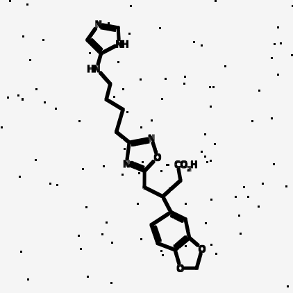 O=C(O)CC(Cc1nc(CCCCNc2cnc[nH]2)no1)c1ccc2c(c1)OCO2